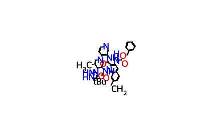 C=Cc1ccc2cc(NC(=O)OCc3ccccc3)c(C(=O)Nc3cnccc3N3C[C@H](C)[C@H](N4C=CNN4)[C@H](NC(=O)OC(C)(C)C)C3)nc2c1